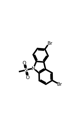 CS(=O)(=O)n1c2ccc(Br)cc2c2cc(Br)ccc21